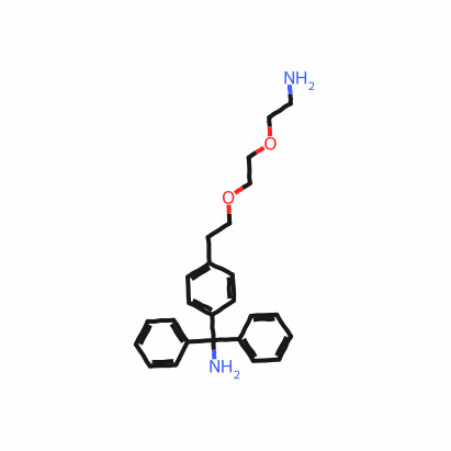 NCCOCCOCCc1ccc(C(N)(c2ccccc2)c2ccccc2)cc1